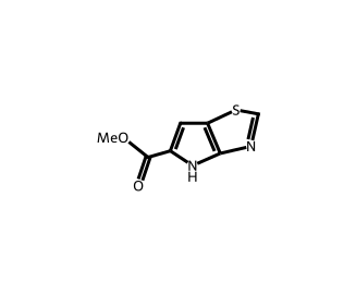 COC(=O)c1cc2scnc2[nH]1